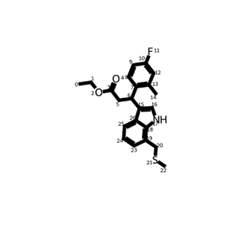 CCOC(=O)CC(c1ccc(F)cc1C)c1c[nH]c2c(CSC)cccc12